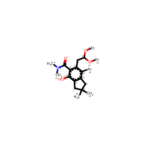 CCOC(Cc1c(C(=O)N(C)C)c(O)c2c(c1C(C)=O)CC(C)(C)C2)OCC